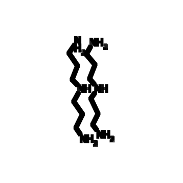 NCCCNCCCN.NCCCNCCCN